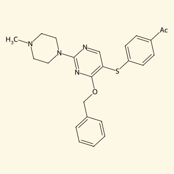 CC(=O)c1ccc(Sc2cnc(N3CCN(C)CC3)nc2OCc2ccccc2)cc1